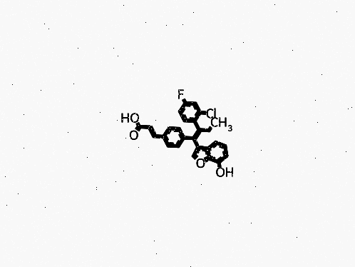 CCC(=C(c1ccc(C=CC(=O)O)cc1)c1coc2c(O)cccc12)c1ccc(F)cc1Cl